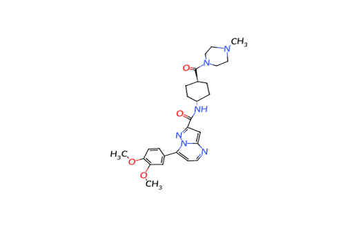 COc1ccc(-c2ccnc3cc(C(=O)N[C@H]4CC[C@H](C(=O)N5CCN(C)CC5)CC4)nn23)cc1OC